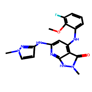 COc1c(F)cccc1Nc1cc(Nc2ccn(C)n2)nc2[nH]n(C)c(=O)c12